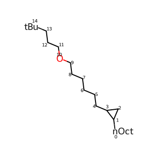 CCCCCCCCC1CC1CCCCCCOCCCC(C)(C)C